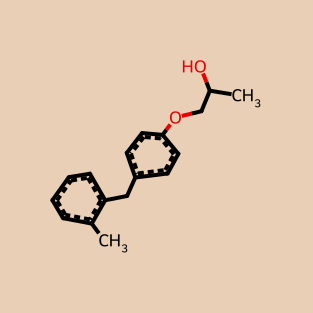 Cc1ccccc1Cc1ccc(OCC(C)O)cc1